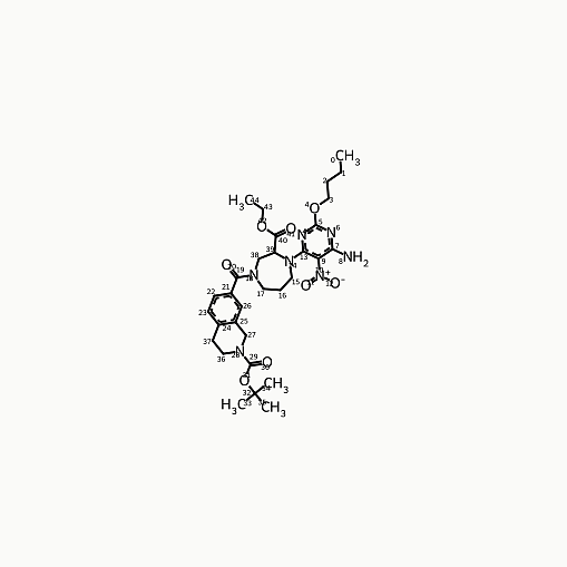 CCCCOc1nc(N)c([N+](=O)[O-])c(N2CCCN(C(=O)c3ccc4c(c3)CN(C(=O)OC(C)(C)C)CC4)CC2C(=O)OCC)n1